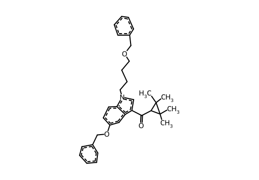 CC1(C)C(C(=O)c2cn(CCCCOCc3ccccc3)c3ccc(OCc4ccccc4)cc23)C1(C)C